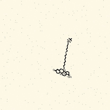 CC(C)(C)[Si](C)(C)OCCCCCSCCCCCCCCC[C@@H]1CC2=CC(=O)CC[C@]2(C)[C@H]2CC[C@@]3(C)[C@@H](CC[C@]3(C)O)[C@H]12